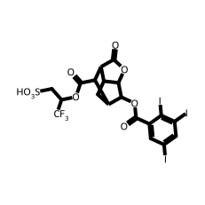 O=C(OC1C2CC3C1OC(=O)C3C2C(=O)OC(CS(=O)(=O)O)C(F)(F)F)c1cc(I)cc(I)c1I